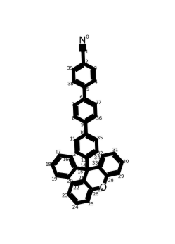 N#Cc1ccc(-c2ccc(-c3ccc(C4(c5ccccc5)c5ccccc5Oc5ccccc54)cc3)cc2)cc1